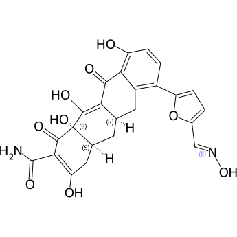 NC(=O)C1=C(O)C[C@@H]2C[C@@H]3Cc4c(-c5ccc(/C=N/O)o5)ccc(O)c4C(=O)C3=C(O)[C@]2(O)C1=O